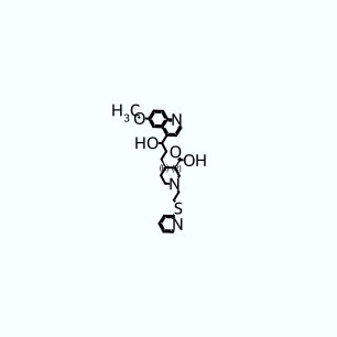 COc1ccc2nccc(C(O)CC[C@@H]3CCN(CCSc4ccccn4)C[C@@H]3C(=O)O)c2c1